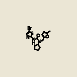 Cc1ccc(CN(C(=O)Nc2ncc(Br)s2)C2CCCC2)o1